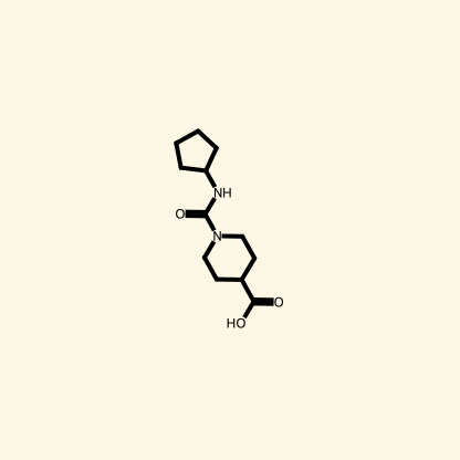 O=C(O)C1CCN(C(=O)NC2CCCC2)CC1